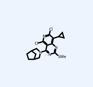 CSc1nc(N2CC3CCC(C3)C2)c2c(Cl)nc(Cl)c(C3CC3)c2n1